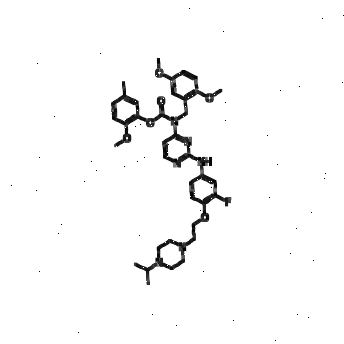 COc1ccc(OC)c(CN(C(=O)Oc2cc(C)ccc2OC)c2ccnc(Nc3ccc(OCCN4CCN(C(C)C)CC4)c(F)c3)n2)c1